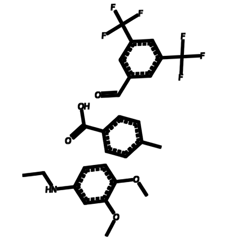 CCNc1ccc(OC)c(OC)c1.Cc1ccc(C(=O)O)cc1.O=Cc1cc(C(F)(F)F)cc(C(F)(F)F)c1